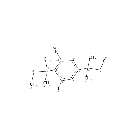 CCC(C)(C)c1cc(F)c(C(C)(C)CC)c(F)c1